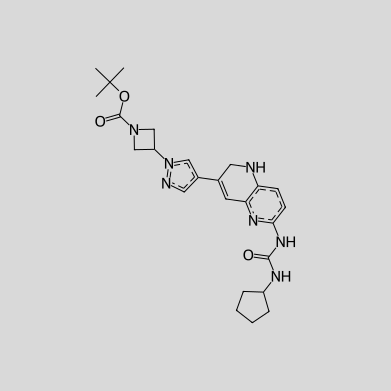 CC(C)(C)OC(=O)N1CC(n2cc(C3=Cc4nc(NC(=O)NC5CCCC5)ccc4NC3)cn2)C1